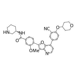 COc1cc(C(=O)N[C@@H]2CCCNC2)ccc1-c1cc2nccc(-c3ccc(OC4CCOCC4)c(C#N)c3)c2o1